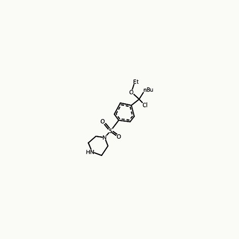 CCCCC(Cl)(OCC)c1ccc(S(=O)(=O)N2CCNCC2)cc1